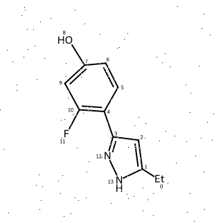 CCc1cc(-c2ccc(O)cc2F)n[nH]1